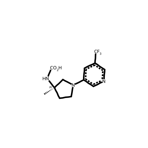 C[C@@]1(NC(=O)O)CCN(c2cncc(C(F)(F)F)c2)C1